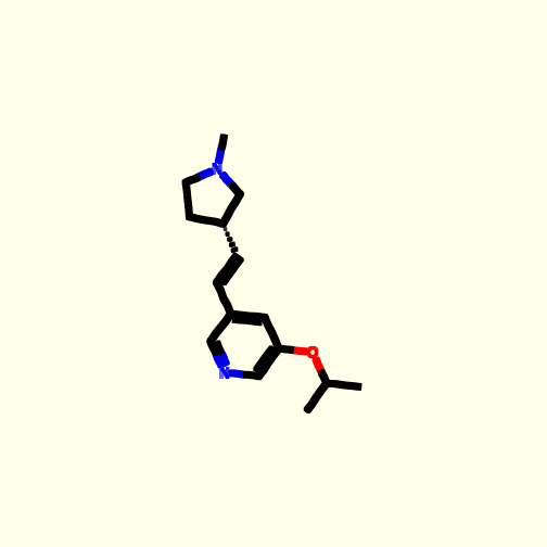 CC(C)Oc1cncc(C=C[C@@H]2CCN(C)C2)c1